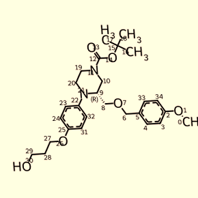 COc1ccc(COC[C@H]2CN(C(=O)OC(C)(C)C)CCN2c2ccc(OCCCO)cc2)cc1